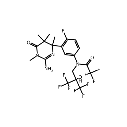 CN1C(=O)C(C)(C)C(C)(c2cc(N(CC(O)(C(F)(F)F)C(F)(F)F)C(=O)C(F)(F)F)ccc2F)N=C1N